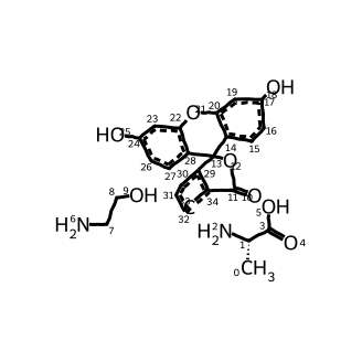 C[C@H](N)C(=O)O.NCCO.O=C1OC2(c3ccc(O)cc3Oc3cc(O)ccc32)c2ccccc21